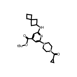 CC(C)(C)OC(=O)c1cc(NC2CC3(CCC3)C2)nc(N2CCN(C(=O)C3CC3)CC2)c1